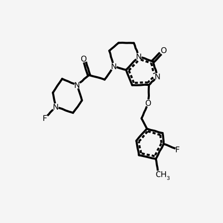 Cc1ccc(COc2cc3n(c(=O)n2)CCCN3CC(=O)N2CCN(F)CC2)cc1F